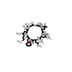 CCCCC(C)CC1NC(=O)C(Cc2ccccc2)N(C)C(=O)C(CC(C)C)NC(=O)C(CC(C)C)N(C)C(=O)C(CC(F)(F)F)NC(=O)[C@@H](C)OC(=O)C(C)N(C)C1=O